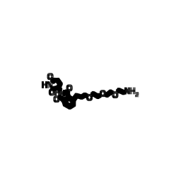 NCCOCCOCCOCCCc1cccc2c1C(=O)N(C1CCC(=O)NC1O)C2=O